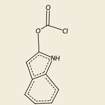 O=C(Cl)Oc1cc2ccccc2[nH]1